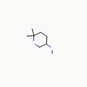 CC1(C)CCC(NC(=O)O)CN1